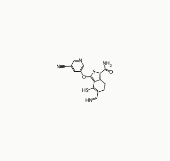 N#Cc1cncc(Oc2sc(C(N)=O)c3c2C(S)=C(C=N)CC3)c1